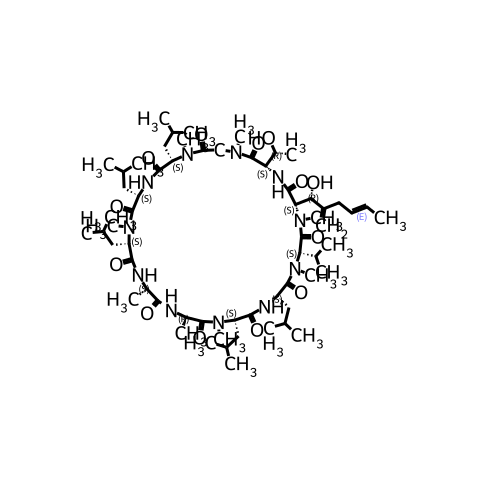 C=C(C/C=C/C)[C@@H](O)[C@H]1C(=O)N[C@@H]([C@@H](C)O)C(=O)N(C)CC(=O)N(C)[C@@H](CC(C)C)C(=O)N[C@@H](CC(C)C)C(=O)N(C)[C@@H](CC(C)C)C(=O)N[C@@H](C)C(=O)N[C@H](C)C(=O)N(C)[C@@H](CC(C)C)C(=O)N[C@@H](CC(C)C)C(=O)N(C)[C@@H](C(C)C)C(=O)N1C